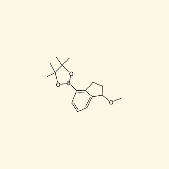 COC1CCc2c(B3OC(C)(C)C(C)(C)O3)cccc21